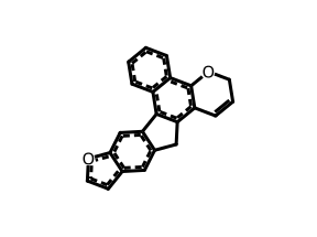 C1=Cc2c3c(c4ccccc4c2OC1)-c1cc2occc2cc1C3